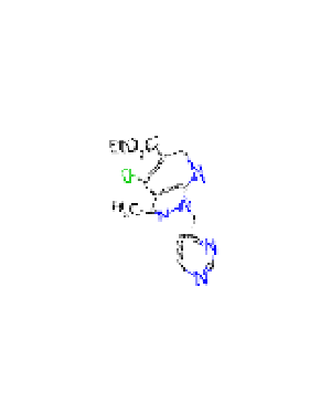 CCOC(=O)c1cnc2c(c(C)nn2Cc2ccncn2)c1Cl